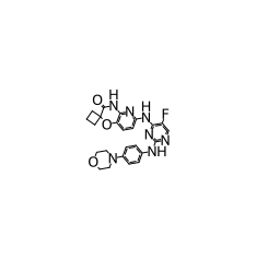 O=C1Nc2nc(Nc3nc(Nc4ccc(N5CCOCC5)cc4)ncc3F)ccc2OC12CCC2